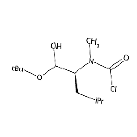 CC(C)C[C@@H](C(O)OC(C)(C)C)N(C)C(=O)Cl